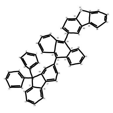 c1ccc(C2(c3ccccc3)c3ccccc3-c3ccc(-c4c5ccccc5c(-c5ccc6oc7ccccc7c6c5)c5ccccc45)cc32)cc1